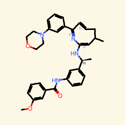 COc1cccc(C(=O)Nc2cccc([C@H](C)NC3=C/C(C)C/C=C/C(c4cccc(N5CCOCC5)c4)=N\3)c2)c1